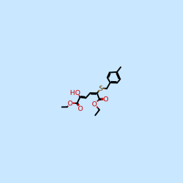 CCOC(=O)C(O)=CC=C(SCc1ccc(C)cc1)C(=O)OCC